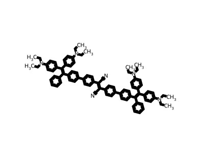 CCN(CC)c1ccc(C(=C(c2ccccc2)c2ccc(-c3ccc(/C(C#N)=C(\C#N)c4ccc(-c5ccc(C(=C(c6ccc(N(CC)CC)cc6)c6ccc(N(CC)CC)cc6)c6ccccc6)cc5)cc4)cc3)cc2)c2ccc(N(CC)CC)cc2)cc1